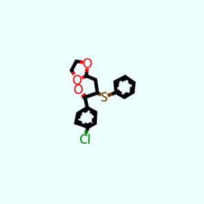 O=C(c1ccc(Cl)cc1)C(CC1OCCO1)Sc1ccccc1